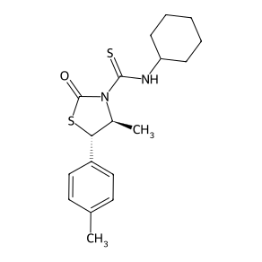 Cc1ccc([C@@H]2SC(=O)N(C(=S)NC3CCCCC3)[C@H]2C)cc1